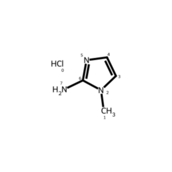 Cl.Cn1ccnc1N